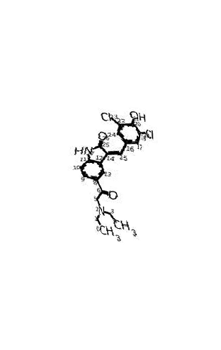 CCN(CC)CC(=O)c1ccc2c(c1)C(=Cc1cc(Cl)c(O)c(Cl)c1)C(=O)N2